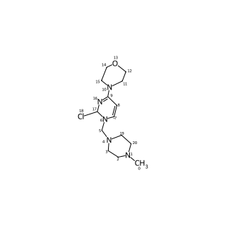 CN1CCN(CN2[C]=CC(N3CCOCC3)=NC2Cl)CC1